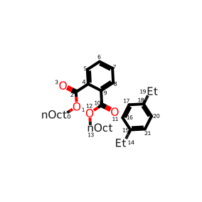 CCCCCCCCOC(=O)c1ccccc1C(=O)OCCCCCCCC.CCc1ccc(CC)cc1